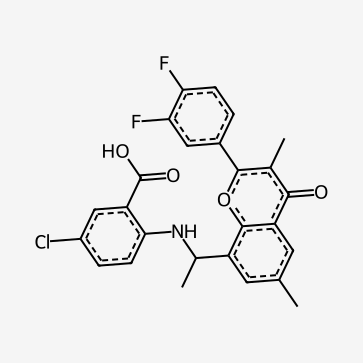 Cc1cc(C(C)Nc2ccc(Cl)cc2C(=O)O)c2oc(-c3ccc(F)c(F)c3)c(C)c(=O)c2c1